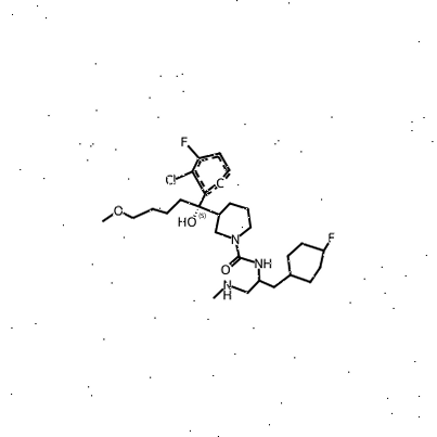 CNCC(CC1CCC(F)CC1)NC(=O)N1CCCC([C@@](O)(CCCCOC)c2cccc(F)c2Cl)C1